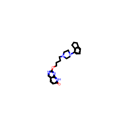 O=c1ccc2cnc(OCCCCN3CCN(c4cccc5c4CCC5)CC3)nc2[nH]1